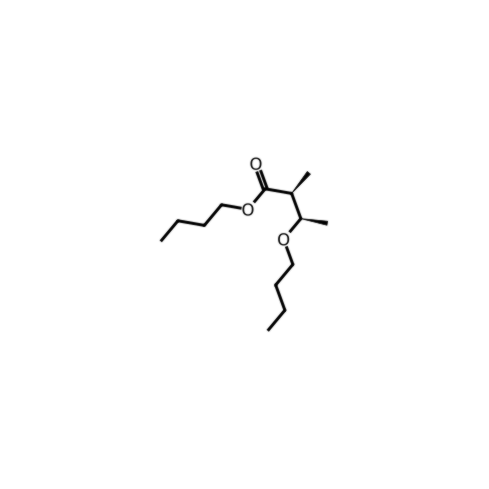 CCCCOC(=O)[C@@H](C)[C@@H](C)OCCCC